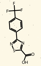 O=C(O)c1nc(-c2ccc(C(F)(F)F)cc2)ns1